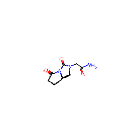 NC(=O)CN1CC2CCC(=O)N2C1=O